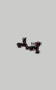 C=CC(=O)N1CCN(c2nc(OC[C@@H]3CC(c4ccc(N5CCc6c(nc(OC[C@@H]7CCCN7C)nc6N6CCN(C(=O)C(=C)F)[C@@H](CC#N)C6)C5)c5c(Cl)cccc45)CN3C)nc3c2CCN(c2cccc4cccc(C)c24)C3)CC1